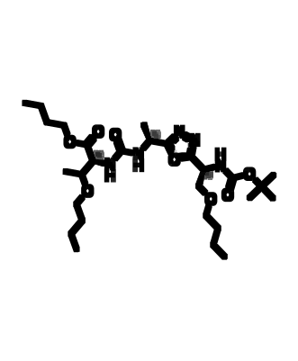 CCCCOC[C@H](NC(=O)OC(C)(C)C)c1nnc([C@H](C)NC(=O)N[C@H](C(=O)OCCCC)C(C)OCCCC)o1